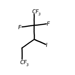 FC(F)(F)CC(I)C(F)(F)C(F)(F)F